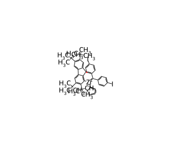 CC(C)(C)c1cc2c(cc1C(C)(C)C)-c1cc(C(C)(C)C)c(C(C)(C)C)[c]([Zr]([C]3=CC=CC3)=[C](c3ccc(I)cc3)c3ccc(I)cc3)c1C2